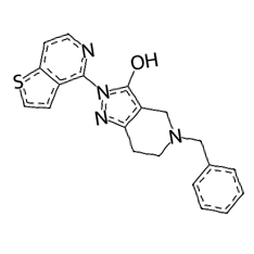 Oc1c2c(nn1-c1nccc3sccc13)CCN(Cc1ccccc1)C2